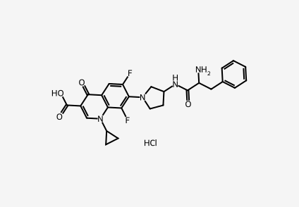 Cl.NC(Cc1ccccc1)C(=O)NC1CCN(c2c(F)cc3c(=O)c(C(=O)O)cn(C4CC4)c3c2F)C1